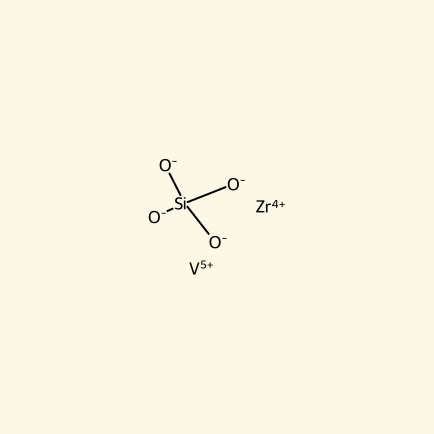 [O-][Si]([O-])([O-])[O-].[V+5].[Zr+4]